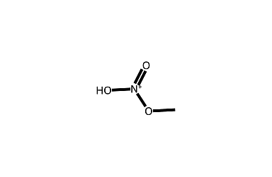 CO[N+](=O)O